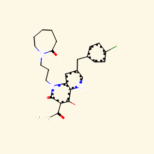 CNC(=O)c1c(O)c2ncc(Cc3ccc(F)cc3)cc2n(CCCN2CCCCCC2=O)c1=O